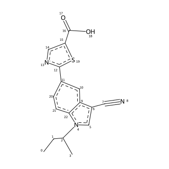 CCC(C)n1cc(C#N)c2cc(-c3ncc(C(=O)O)s3)ccc21